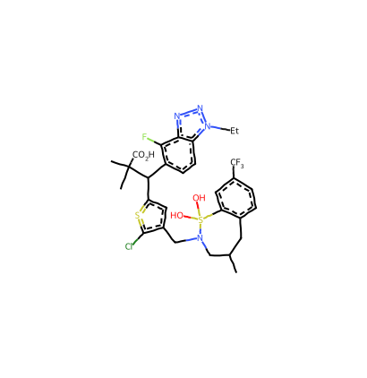 CCn1nnc2c(F)c(C(c3cc(CN4CC(C)Cc5ccc(C(F)(F)F)cc5S4(O)O)c(Cl)s3)C(C)(C)C(=O)O)ccc21